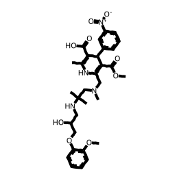 COC(=O)C1=C(CN(C)CC(C)(C)NCC(O)COc2ccccc2OC)NC(C)=C(C(=O)O)C1c1cccc([N+](=O)[O-])c1